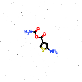 NC(=O)OC(=O)c1csc(N)c1